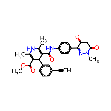 C#Cc1cccc(C2C(C(=O)Nc3ccc(C4=NN(C)C(=O)CC4=O)cc3)=C(C)NC(C)=C2C(=O)OC)c1